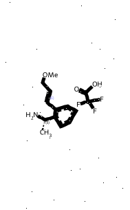 COC/C=C/c1ccccc1[C@H](C)N.O=C(O)C(F)(F)F